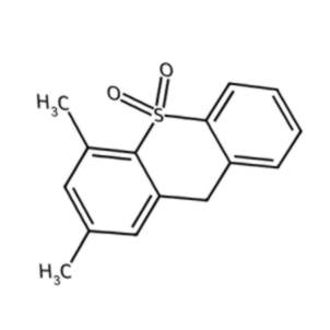 Cc1cc(C)c2c(c1)Cc1ccccc1S2(=O)=O